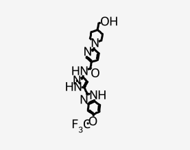 O=C(Nc1cc(-c2nc3cc(OC(F)(F)F)ccc3[nH]2)[nH]n1)c1ccc(N2CCC(CO)CC2)nc1